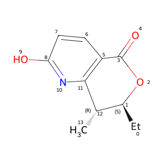 CC[C@@H]1OC(=O)c2ccc(O)nc2[C@H]1C